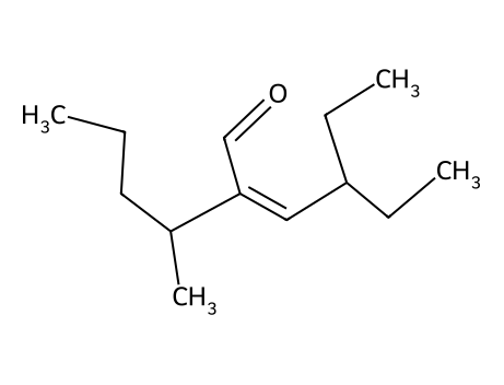 CCCC(C)C(C=O)=CC(CC)CC